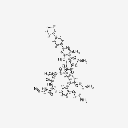 Cc1nc(-c2ccc(C3CCCCC3)cc2)nc(C)c1C(=O)N[C@@H](CCN)C(=O)N(C)[C@@H]1C(=O)N[C@@H](C)C(=O)N[C@H](C(=O)NCC#N)Cc2ccc(OCCN)c(c2)-c2cc1ccc2OCCN